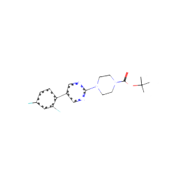 CC(C)(C)OC(=O)N1CCN(c2ncc(-c3ccc(F)cc3F)cn2)CC1